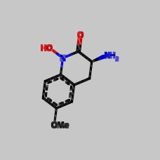 COc1ccc2c(c1)C[C@H](N)C(=O)N2O